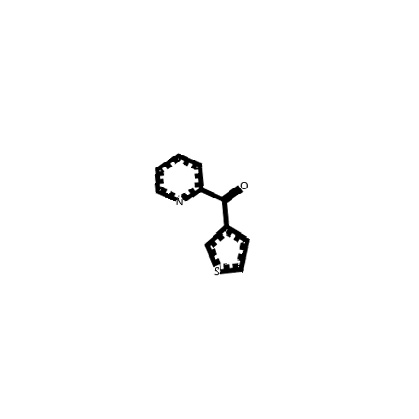 O=C(c1ccsc1)c1ccccn1